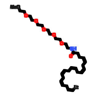 CC/C=C\C/C=C\C/C=C\C/C=C\C/C=C\C/C=C\CCC(=O)NCCOCCOCCOCCOCCOCCOC